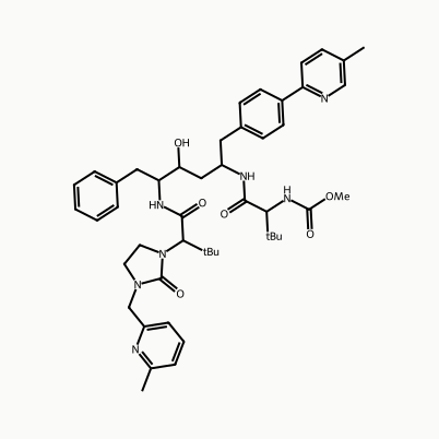 COC(=O)NC(C(=O)NC(Cc1ccc(-c2ccc(C)cn2)cc1)CC(O)C(Cc1ccccc1)NC(=O)C(N1CCN(Cc2cccc(C)n2)C1=O)C(C)(C)C)C(C)(C)C